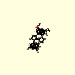 COc1cc(OC)cc(N2CCN(c3cc(C)cc(C)c3)/C2=C2\N(c3cc(C)cc(C)c3)CCN2c2cc(OC)cc(OC)c2)c1